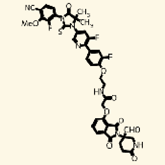 COc1c(C#N)ccc(N2C(=O)C(C)(C)N(c3cnc(-c4ccc(OCCNC(=O)COc5cccc6c5C(=O)N(C5(C=O)CCC(=O)NC5)C6=O)c(F)c4)c(F)c3)C2=S)c1F